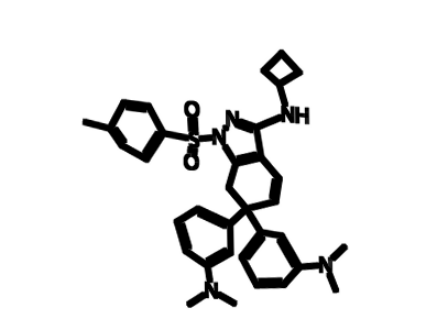 Cc1ccc(S(=O)(=O)n2nc(NC3CCC3)c3c2CC(c2cccc(N(C)C)c2)(c2cccc(N(C)C)c2)C=C3)cc1